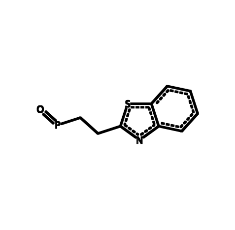 O=PCCc1nc2ccccc2s1